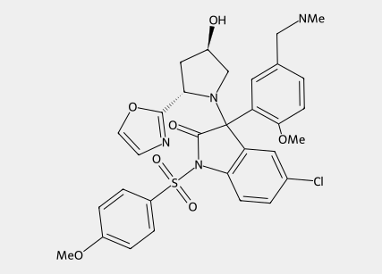 CNCc1ccc(OC)c(C2(N3C[C@H](O)C[C@H]3c3ncco3)C(=O)N(S(=O)(=O)c3ccc(OC)cc3)c3ccc(Cl)cc32)c1